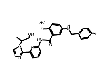 CC(CO)n1cnnc1-c1cccc(NC(=O)c2cc(NCc3ccc(F)cc3)ccc2F)n1.Cl